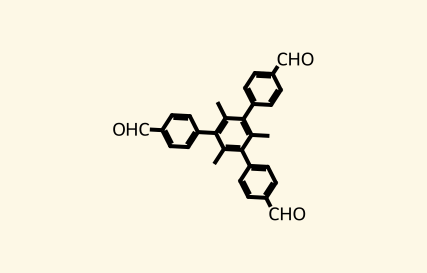 Cc1c(-c2ccc(C=O)cc2)c(C)c(-c2ccc(C=O)cc2)c(C)c1-c1ccc(C=O)cc1